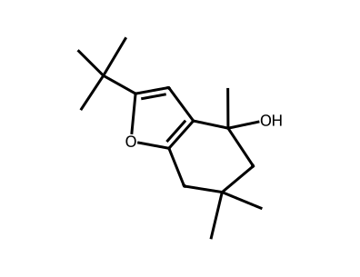 CC1(C)Cc2oc(C(C)(C)C)cc2C(C)(O)C1